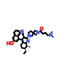 CC[C@@H]1CCc2c(nc(N3CCC4(CN(C(=O)/C=C/CN(C)C)C4)C3)c(C#N)c2-c2cc(O)cc3ccccc23)[C@@H]1C